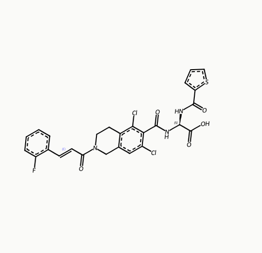 O=C(N[C@H](NC(=O)c1c(Cl)cc2c(c1Cl)CCN(C(=O)/C=C/c1ccccc1F)C2)C(=O)O)c1cccs1